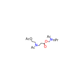 CCCN(COC(=O)CCN(CCOC(C)=O)C(C)=O)C(C)=O